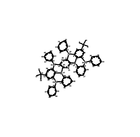 CC(C)(C)c1cc2c3c(c1)N(c1ccccc1)c1nc4c(nc1B3c1ccccc1N2c1ccccc1)B1c2ccccc2N(c2ccccc2)c2cc(C(C)(C)C)cc(c21)N4c1ccccc1